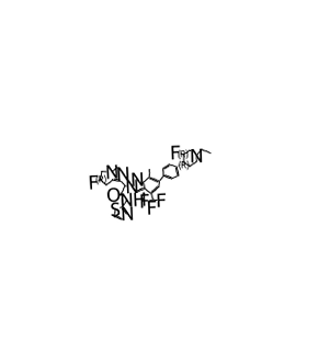 CCN1CC[C@H](c2ccc(-c3cc(C(F)(F)F)c4cn(C(C(=O)Nc5nccs5)c5ncn6c5C[C@@H](F)C6)nc4c3C)cc2)[C@@H](F)C1